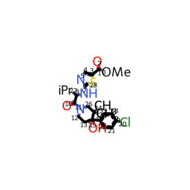 COC(=O)c1cnc(NC(C(=O)N2CCC(O)(c3ccc(Cl)cc3)C(C)(C)C2)C(C)C)s1